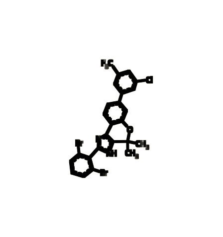 CC1(C)Oc2cc(-c3cc(Cl)cc(C(F)(F)F)c3)ccc2-c2nc(-c3c(Br)cccc3Br)[nH]c21